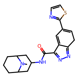 CN1C2CCCC1CC(NC(=O)C1=NN=C3CC=C(c4nccs4)C=C31)C2